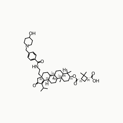 CC(C)C1=C2[C@H]3CC[C@@]4(C)[C@@](C)(CC[C@H]5C(C)(C)[C@@H](OC(=O)[C@H]6C[C@@H](C(=O)O)C6(C)C)CC[C@@]54C)[C@]3(C)CC[C@@]2(CCNC(=O)c2ccc(CN3CCC(O)CC3)cc2)CC1=O